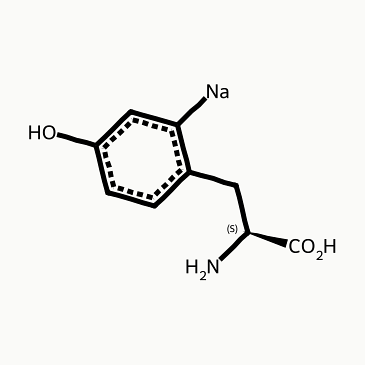 N[C@@H](Cc1ccc(O)c[c]1[Na])C(=O)O